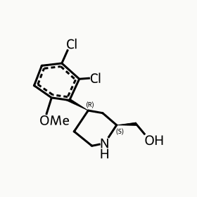 COc1ccc(Cl)c(Cl)c1[C@@H]1CCN[C@H](CO)C1